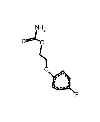 NC(=O)OCCOc1ccc(F)cc1